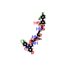 COc1ccc2c(c1)c(CC(=O)NC(CCC(=O)NC(CCCCNC(=O)COc1ccc(-c3ccc(F)cc3F)cc1C(=O)O)C(=O)SC)C(=O)O)c(C)n2C(=O)c1ccc(Cl)cc1